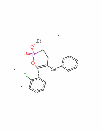 CCOP1(=O)CCC([Se]c2ccccc2)=C(c2ccccc2F)O1